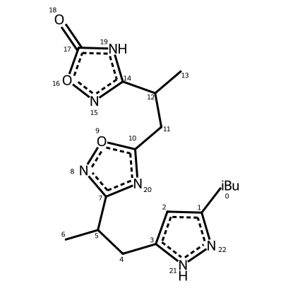 CCC(C)c1cc(CC(C)c2noc(CC(C)c3noc(=O)[nH]3)n2)[nH]n1